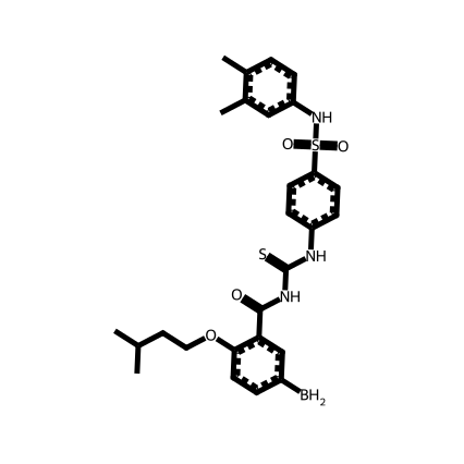 Bc1ccc(OCCC(C)C)c(C(=O)NC(=S)Nc2ccc(S(=O)(=O)Nc3ccc(C)c(C)c3)cc2)c1